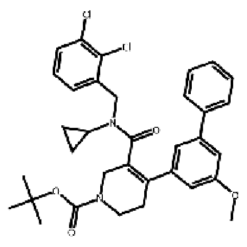 COc1cc(C2=C(C(=O)N(Cc3cccc(Cl)c3Cl)C3CC3)CN(C(=O)OC(C)(C)C)CC2)cc(-c2ccccc2)c1